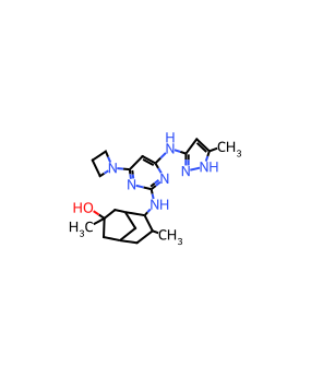 Cc1cc(Nc2cc(N3CCC3)nc(NC3C(C)CC4CC3CC(C)(O)C4)n2)n[nH]1